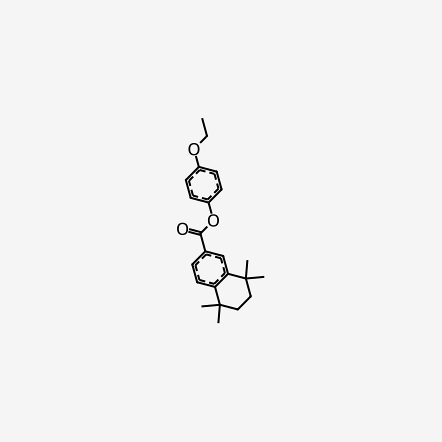 CCOc1ccc(OC(=O)c2ccc3c(c2)C(C)(C)CCC3(C)C)cc1